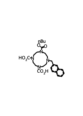 CCCCOC(=O)N1CCN(Cc2ccc3ccccc3c2)CCN(C(=O)O)CCN(C(=O)O)CC1